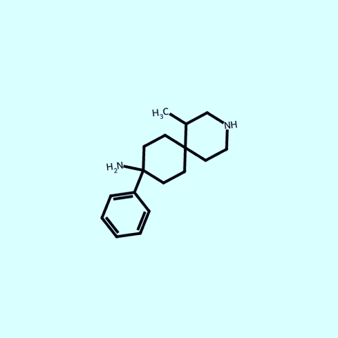 CC1CNCCC12CCC(N)(c1ccccc1)CC2